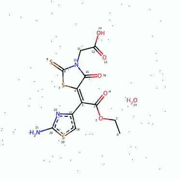 CCOC(=O)C(=C1SC(=S)N(CC(=O)O)C1=O)c1csc(N)n1.O